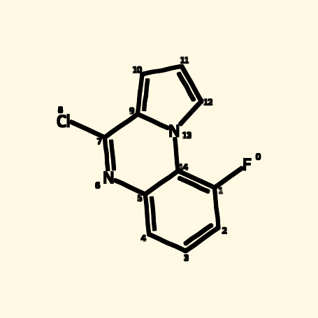 Fc1cccc2nc(Cl)c3cccn3c12